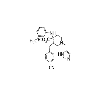 CCOC(=O)C1(Nc2cccc(C)c2)CCN(Cc2cnc[nH]2)CC1Cc1ccc(C#N)cc1